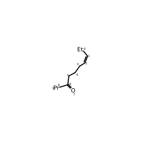 CC/C=C\CCCC(=O)C(C)C